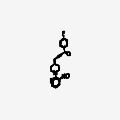 O=Nc1cccnc1N1CCC(=CC#CC(=O)c2ccc(F)cc2)CC1